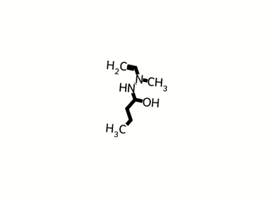 C=CN(C)NC(O)CCC